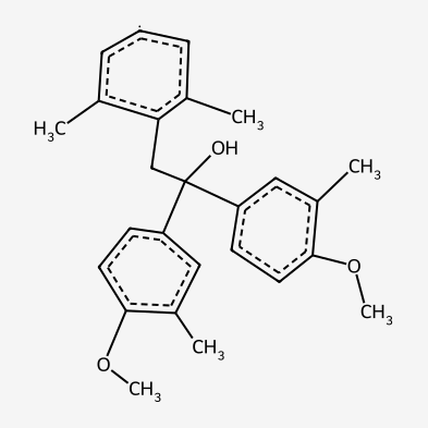 COc1ccc(C(O)(Cc2c(C)c[c]cc2C)c2ccc(OC)c(C)c2)cc1C